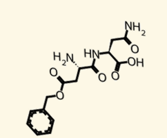 NC(=O)C[C@H](NC(=O)[C@@H](N)CC(=O)OCc1ccccc1)C(=O)O